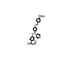 COc1ccc(COc2ccc([C@@H](Oc3ccc4c(c3)OCCC4=O)c3ccncc3)cc2)cc1